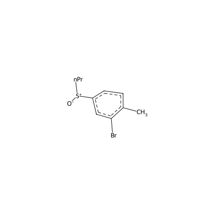 CCC[S+]([O-])c1ccc(C)c(Br)c1